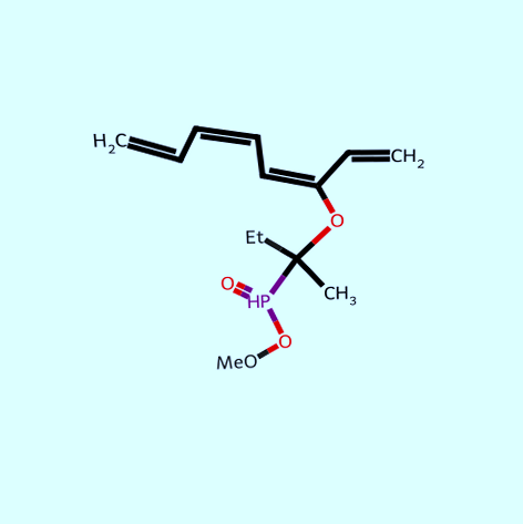 C=C/C=C\C=C(/C=C)OC(C)(CC)[PH](=O)OOC